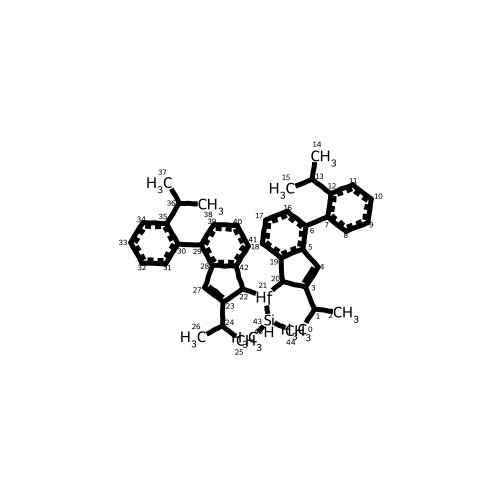 CC(C)C1=Cc2c(-c3ccccc3C(C)C)cccc2[CH]1[Hf]([CH]1C(C(C)C)=Cc2c(-c3ccccc3C(C)C)cccc21)[SiH](C)C